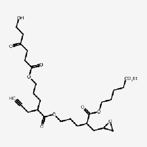 C#CCC(CCCOC(=O)CCC(=O)CCO)C(=O)OCCCC(CC1CO1)C(=O)OCCCCC(=O)OCC